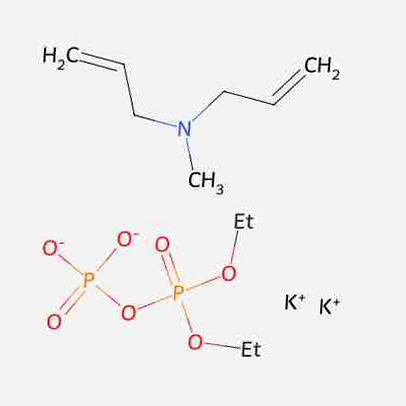 C=CCN(C)CC=C.CCOP(=O)(OCC)OP(=O)([O-])[O-].[K+].[K+]